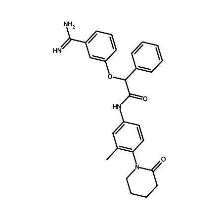 Cc1cc(NC(=O)C(Oc2cccc(C(=N)N)c2)c2ccccc2)ccc1N1CCCCC1=O